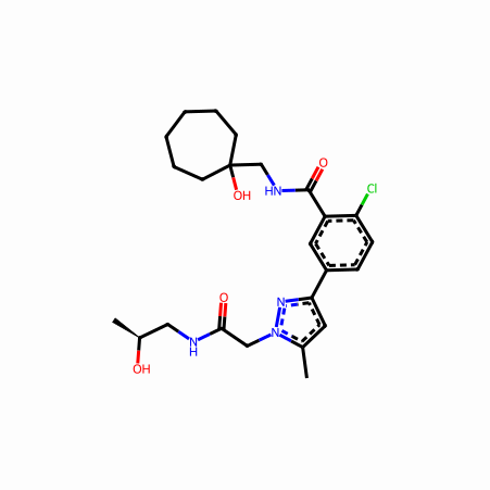 Cc1cc(-c2ccc(Cl)c(C(=O)NCC3(O)CCCCCC3)c2)nn1CC(=O)NC[C@H](C)O